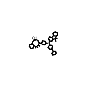 C=C1/C(c2ccc(N(c3ccc(-c4ccccc4)cc3)c3ccc4c(c3)C(C)(C)c3ccccc3-4)cc2)=C\C=C(\O)Cc2ccccc2C1(C)C